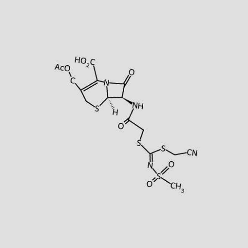 CC(=O)OCC1=C(C(=O)O)N2C(=O)[C@@H](NC(=O)CSC(=NS(C)(=O)=O)SCC#N)[C@H]2SC1